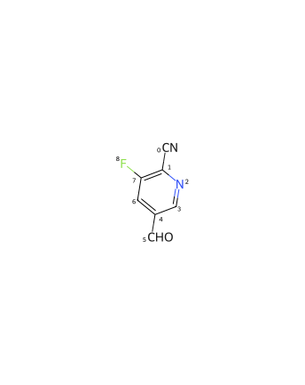 N#Cc1ncc(C=O)cc1F